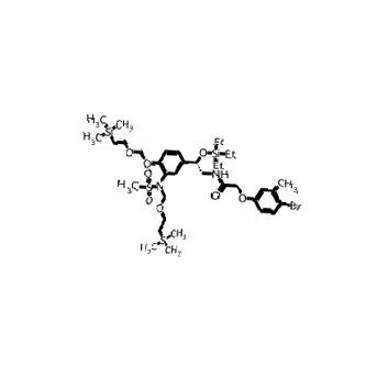 CC[Si](CC)(CC)O[C@H](CNC(=O)COc1ccc(Br)c(C)c1)c1ccc(OCOCC[Si](C)(C)C)c(N(COCC[Si](C)(C)C)S(C)(=O)=O)c1